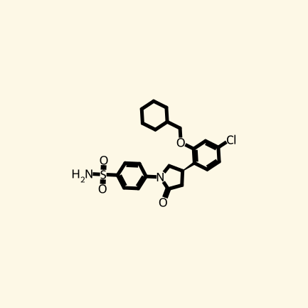 NS(=O)(=O)c1ccc(N2C[C@@H](c3ccc(Cl)cc3OCC3CCCCC3)CC2=O)cc1